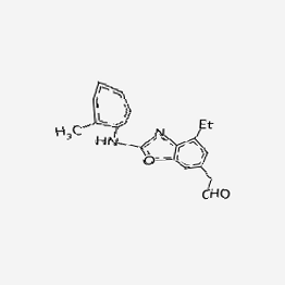 CCc1cc(CC=O)cc2oc(Nc3ccccc3C)nc12